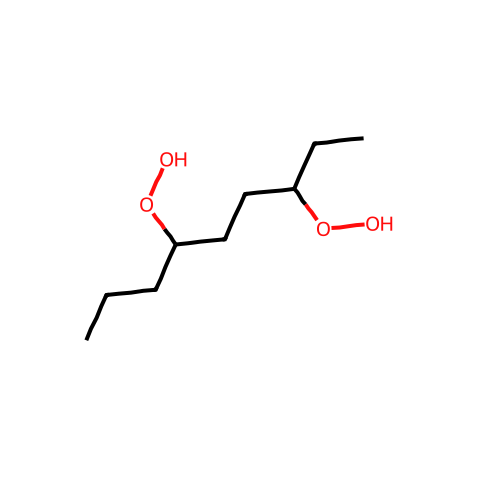 CCCC(CCC(CC)OO)OO